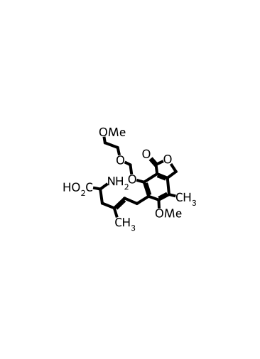 COCCOCOc1c(C/C=C(\C)CC(N)C(=O)O)c(OC)c(C)c2c1C(=O)OC2